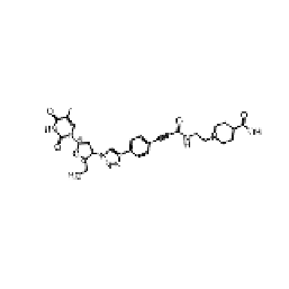 Cc1cn([C@H]2CC(n3cc(-c4ccc(C#CC(=O)NCCN5CCC(C(=O)O)CC5)cc4)nn3)[C@@H](CO)O2)c(=O)[nH]c1=O